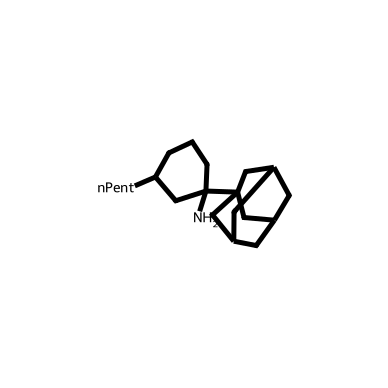 CCCCCC1CCCC(N)(C23CC4CC(CC(C4)C2)C3)C1